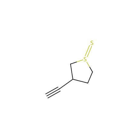 C#CC1CCS(=S)C1